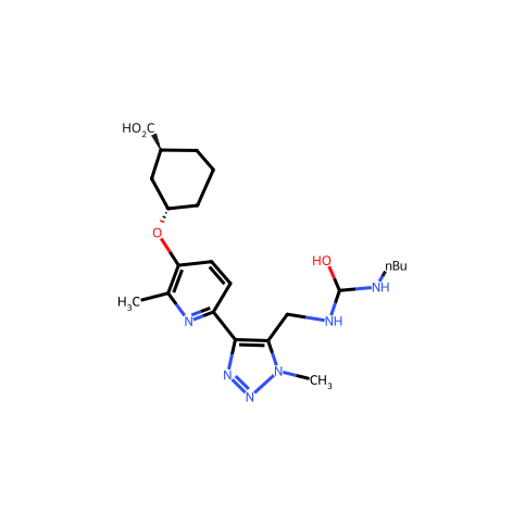 CCCCNC(O)NCc1c(-c2ccc(O[C@H]3CCC[C@H](C(=O)O)C3)c(C)n2)nnn1C